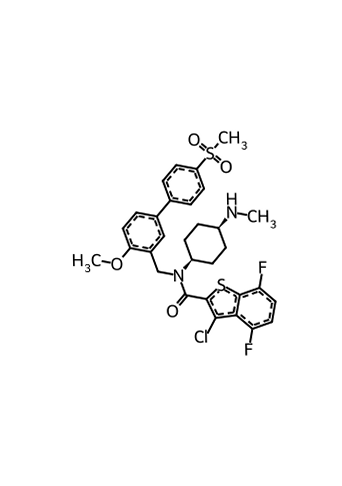 CN[C@H]1CC[C@@H](N(Cc2cc(-c3ccc(S(C)(=O)=O)cc3)ccc2OC)C(=O)c2sc3c(F)ccc(F)c3c2Cl)CC1